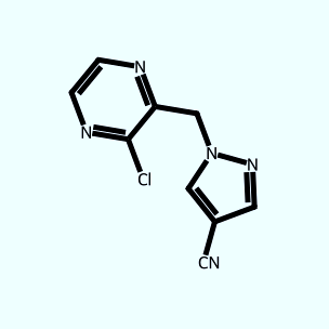 N#Cc1cnn(Cc2nccnc2Cl)c1